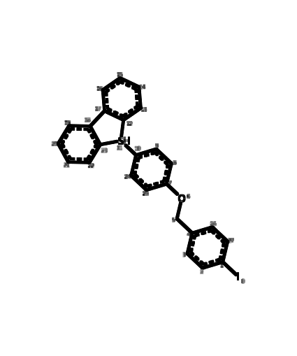 Ic1ccc(COc2ccc([SH]3c4ccccc4-c4ccccc43)cc2)cc1